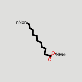 CCCCCCCCCCCCCCCCCCCC(=O)ONC